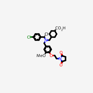 COc1cc(CN(CC2CCC(C(=O)O)CC2)[C@H](C)c2ccc(Cl)cc2)ccc1OCCN1C(=O)CCC1=O